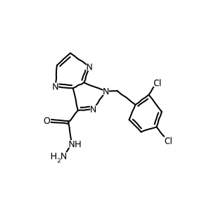 NNC(=O)c1nn(Cc2ccc(Cl)cc2Cl)c2nccnc12